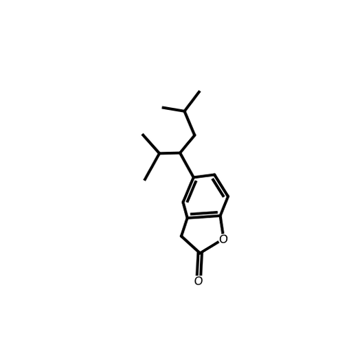 CC(C)CC(c1ccc2c(c1)CC(=O)O2)C(C)C